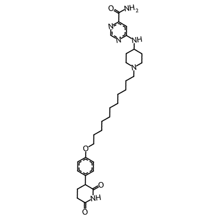 NC(=O)c1cc(NC2CCN(CCCCCCCCCCCOc3ccc(C4CCC(=O)NC4=O)cc3)CC2)ncn1